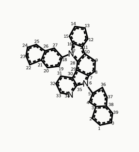 c1ccc2cc(-n3c4ccc5c6ccccc6n(-c6ccc7ccccc7c6)c5c4c4cccnc43)ccc2c1